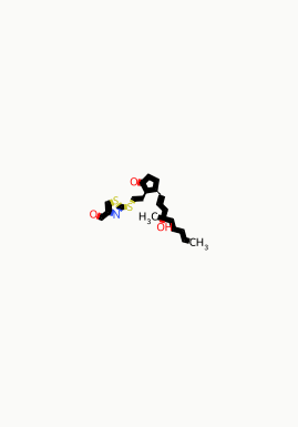 CCCCCC(C)(O)C/C=C/[C@H]1CCC(=O)[C@@H]1CCSc1nc(C=O)cs1